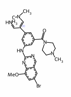 COc1cc(Br)cc2cnc(Nc3cc(C(=O)N4CCN(C)CC4)cc(/C(C=N)=C/N(C)C)c3)nc12